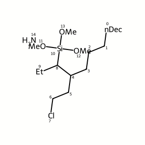 CCCCCCCCCCCCCC(CCCl)C(CC)[Si](OC)(OC)OC.N